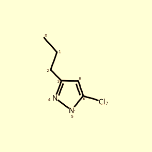 CCCC1=N[N]C(Cl)=C1